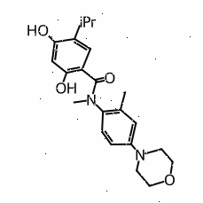 Cc1cc(N2CCOCC2)ccc1N(C)C(=O)c1cc(C(C)C)c(O)cc1O